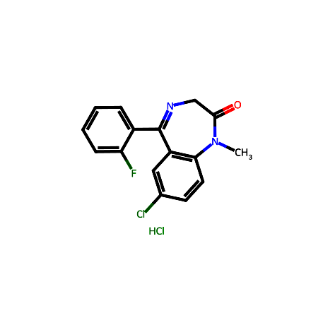 CN1C(=O)CN=C(c2ccccc2F)c2cc(Cl)ccc21.Cl